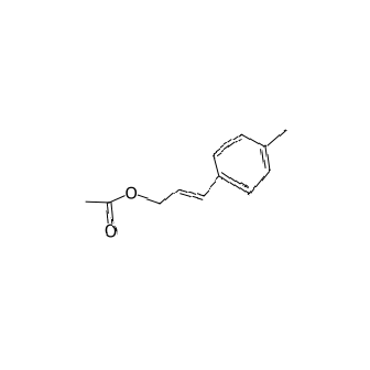 CC(=O)OCC=Cc1ccc(C)cc1